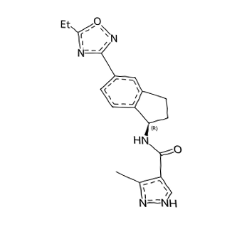 CCc1nc(-c2ccc3c(c2)CC[C@H]3NC(=O)c2c[nH]nc2C)no1